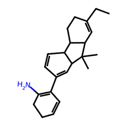 CCC1=CC2C(CC1)C1C=CC(C3=C(N)CCC=C3)=CC1C2(C)C